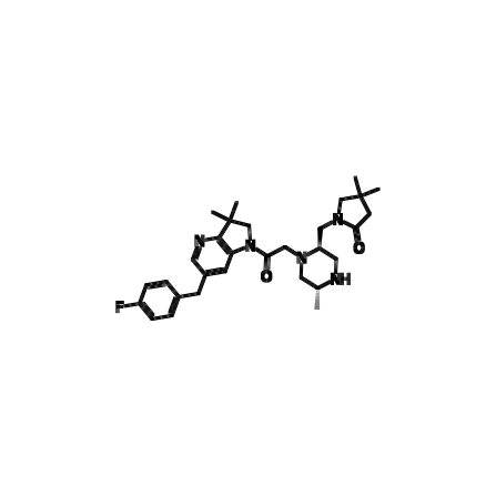 C[C@@H]1CN(CC(=O)N2CC(C)(C)c3ncc(Cc4ccc(F)cc4)cc32)[C@@H](CN2CC(C)(C)CC2=O)CN1